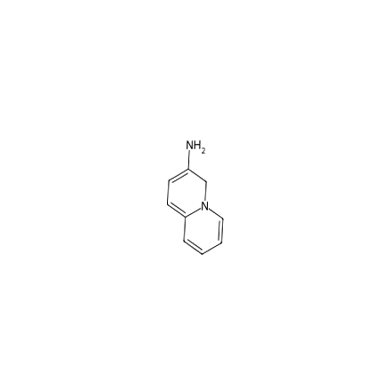 NC1=CC=C2C=CC=CN2C1